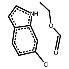 CCOC=O.Clc1ccc2cc[nH]c2c1